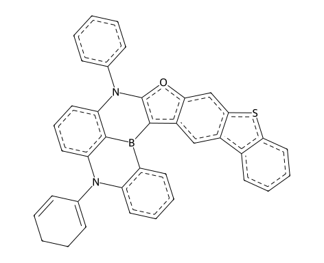 C1=CC(N2c3ccccc3B3c4c2cccc4N(c2ccccc2)c2oc4cc5sc6ccccc6c5cc4c23)=CCC1